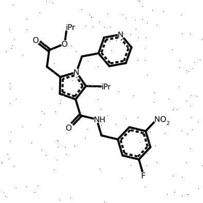 CC(C)OC(=O)Cc1cc(C(=O)NCc2cc(F)cc([N+](=O)[O-])c2)c(C(C)C)n1Cc1cccnc1